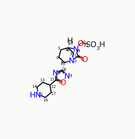 O=C1N2C[C@@H](CC[C@H]2c2noc(C3CCNCC3)n2)N1OS(=O)(=O)O